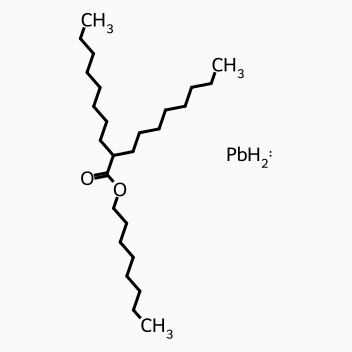 CCCCCCCCOC(=O)C(CCCCCCCC)CCCCCCCC.[PbH2]